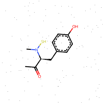 CC(=O)[C@H](Cc1ccc(O)cc1)N(C)S